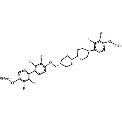 CCCCCCOc1ccc(-c2ccc(OC[C@H]3CC[C@H]([C@H]4CC[C@H](c5ccc(OCCCC)c(F)c5F)CC4)CC3)c(F)c2F)c(F)c1F